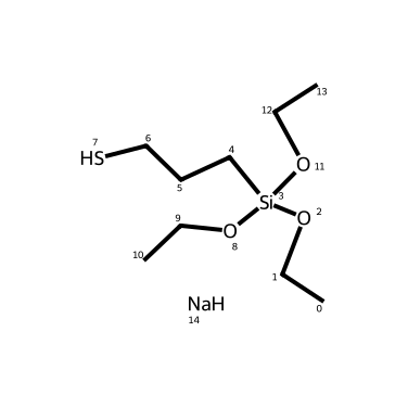 CCO[Si](CCCS)(OCC)OCC.[NaH]